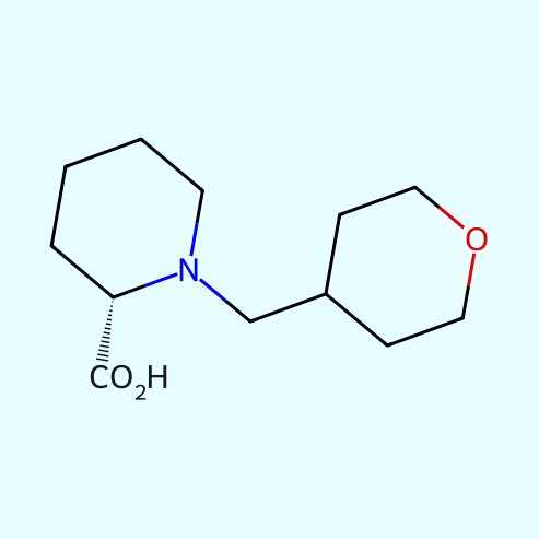 O=C(O)[C@@H]1CCCCN1CC1CCOCC1